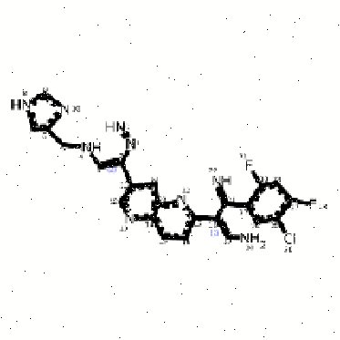 N=N/C(=C\NCc1c[nH]cn1)c1cnc2ccc(/C(=C/N)C(=N)c3cc(Cl)c(F)cc3F)nc2c1